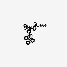 COC(=O)c1cccc(-c2nn(C3CCCCO3)c3ccc(-c4ncn(C(c5ccccc5)(c5ccccc5)c5ccccc5)n4)cc23)c1